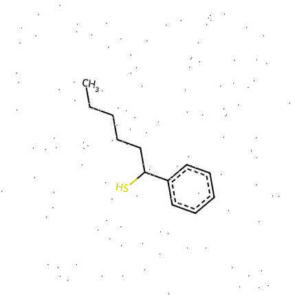 CCCCCC(S)c1ccccc1